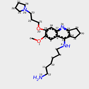 COc1cc2c(NCCCCCCN)c3c(nc2cc1OCCCN1CCCC1)CCC3